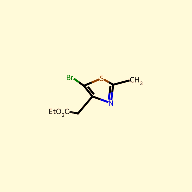 CCOC(=O)Cc1nc(C)sc1Br